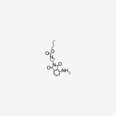 CCCCOC(=O)N1CC(N2C(=O)c3cccc(N)c3C2=O)C1